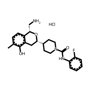 Cc1ccc2c(c1O)C[C@@H](C1CCN(C(=O)Nc3ccccc3F)CC1)O[C@H]2CN.Cl